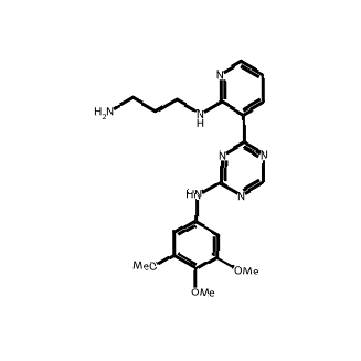 COc1cc(Nc2ncnc(-c3cccnc3NCCCN)n2)cc(OC)c1OC